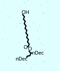 CCCCCCCCCCCCC(CCCCCCCCCC)COC(=O)CCCCCCCCCCCCCCO